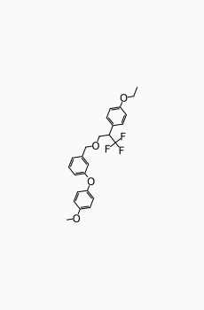 CCOc1ccc(C(COCc2cccc(Oc3ccc(OC)cc3)c2)C(F)(F)F)cc1